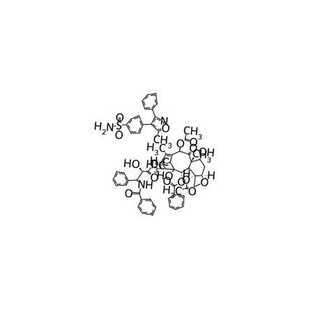 CC(=O)O[C@H]1C(=O)[C@@]2(C)[C@H]([C@H](OC(=O)c3ccccc3)[C@]3(O)C[C@H](OC(=O)[C@H](O)[C@@H](NC(=O)c4ccccc4)c4ccccc4)C(C)=C1C3(C)C)[C@]1(OC(C)=O)CO[C@@H]1C[C@@H]2O.Cc1onc(-c2ccccc2)c1-c1ccc(S(N)(=O)=O)cc1